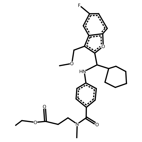 CCOC(=O)CCN(C)C(=O)c1ccc(NC(c2oc3ccc(F)cc3c2COC)C2CCCCC2)cc1